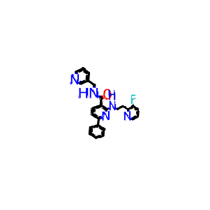 O=C(NCc1cccnc1)c1ccc(-c2ccccc2)nc1NCCc1ncccc1F